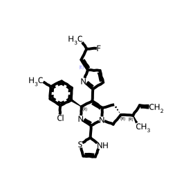 C=C[C@@H](C)[C@H]1CC2=C(C3=N/C(=C/C(C)F)C=C3)[C@H](c3ccc(C)cc3Cl)N=C(C3NC=CS3)N2C1